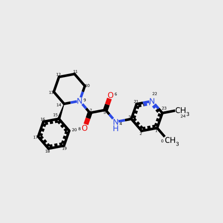 Cc1cc(NC(=O)C(=O)N2CCCC[C@@H]2c2ccccc2)cnc1C